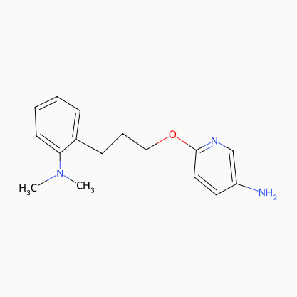 CN(C)c1ccccc1CCCOc1ccc(N)cn1